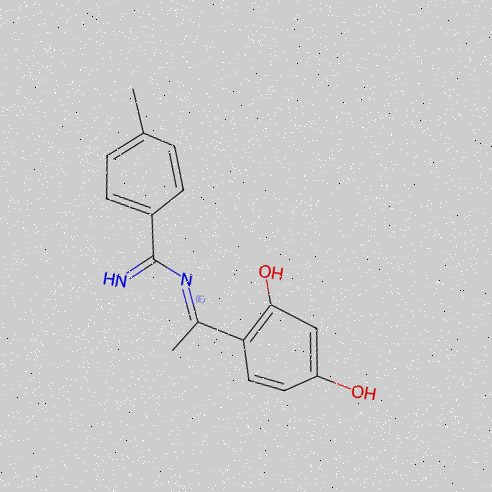 C/C(=N\C(=N)c1ccc(C)cc1)c1ccc(O)cc1O